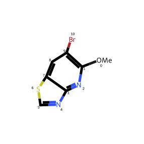 COc1nc2ncsc2cc1Br